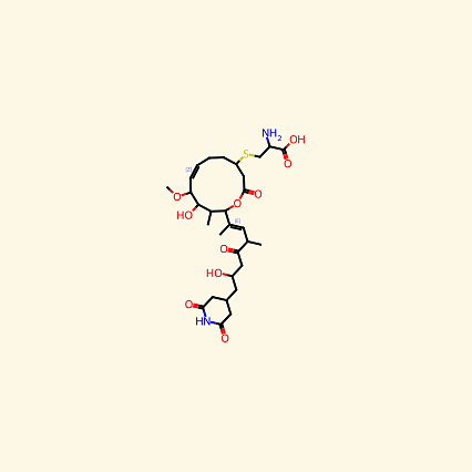 COC1/C=C\CCC(SCC(N)C(=O)O)CC(=O)OC(/C(C)=C/C(C)C(=O)CC(O)CC2CC(=O)NC(=O)C2)C(C)C1O